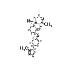 C[C@@H]1C[C@](C#N)(c2cccc(Sc3ccc(-c4ccnn4C)cc3)c2F)CCO1